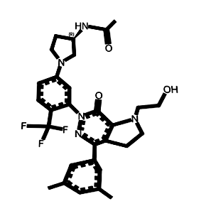 CC(=O)N[C@@H]1CCN(c2ccc(C(F)(F)F)c(-n3nc(-c4cc(C)cc(C)c4)c4c(c3=O)N(CCO)CC4)c2)C1